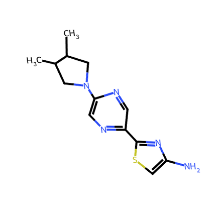 CC1CN(c2cnc(-c3nc(N)cs3)cn2)CC1C